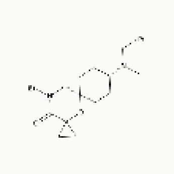 CCN1C[C@]2(CC[C@@H](N(C)CC(C)C)CC2)OC2(CC2)C1=O